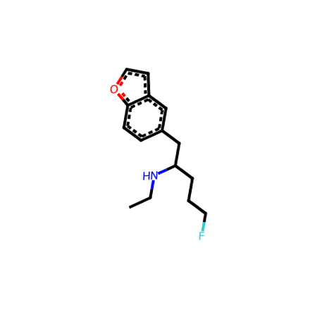 CCNC(CCCF)Cc1ccc2occc2c1